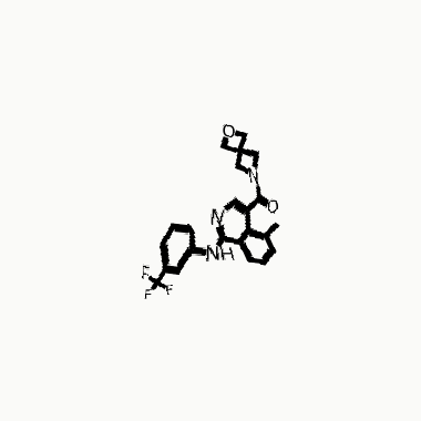 Cc1cccc2c(Nc3cccc(C(F)(F)F)c3)ncc(C(=O)N3CC4(COC4)C3)c12